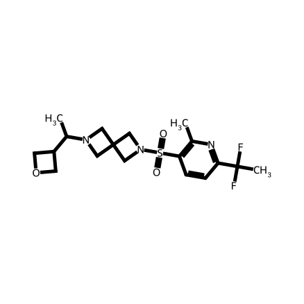 Cc1nc(C(C)(F)F)ccc1S(=O)(=O)N1CC2(CN(C(C)C3COC3)C2)C1